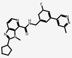 Cc1cc(C2=CC(F)CC(CNC(=O)c3nccc4nc(C5CCCC5)n(C)c34)=C2)cnn1